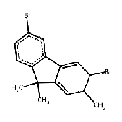 CC1C=C2C(=CC1Br)c1cc(Br)ccc1C2(C)C